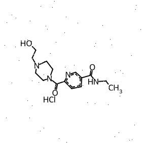 CCNC(=O)c1ccc(C(=O)N2CCN(CCO)CC2)nc1.Cl